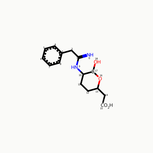 N=C(Cc1ccccc1)NC1CCC(CC(=O)O)OB1O